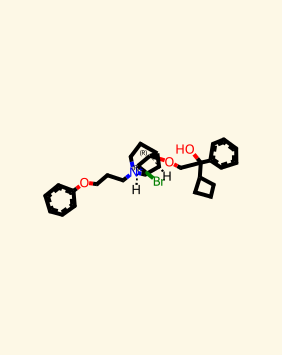 OC(CO[C@@H]1C2CC[N+](CCCOc3ccccc3)(CC2)[C@@H]1Br)(c1ccccc1)C1CCC1